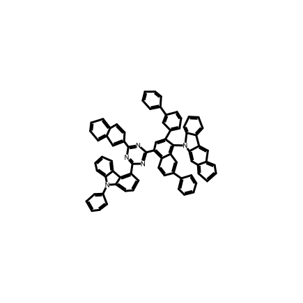 c1ccc(-c2cccc(-c3cc(-c4nc(-c5ccc6ccccc6c5)nc(-c5cccc6c5c5ccccc5n6-c5ccccc5)n4)c4ccc(-c5ccccc5)cc4c3-n3c4ccccc4c4cc5ccccc5cc43)c2)cc1